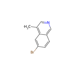 [CH2]c1cncc2ccc(Br)cc12